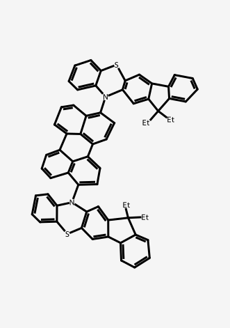 CCC1(CC)c2ccccc2-c2cc3c(cc21)N(c1ccc2c4ccc(N5c6ccccc6Sc6cc7c(cc65)C(CC)(CC)c5ccccc5-7)c5cccc(c6cccc1c62)c54)c1ccccc1S3